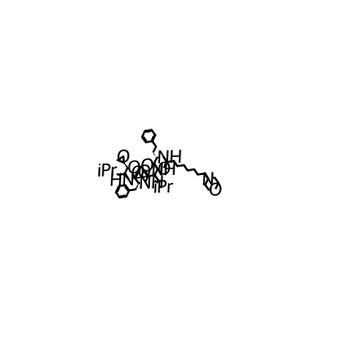 CC(C)CC(NC(=O)[C@H](CCc1ccccc1)NC(=O)CCCCCCCN1CCOCC1)C(=O)N[C@@H](Cc1ccccc1)C(=O)NC(CC(C)C)C(=O)[C@H]1CO1